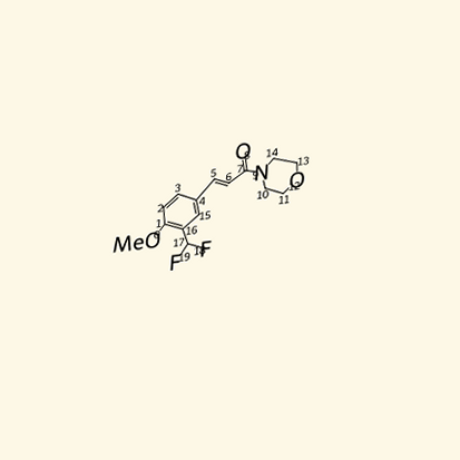 COc1ccc(/C=C/C(=O)N2CCOCC2)cc1C(F)F